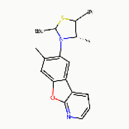 Cc1cc2oc3ncccc3c2cc1N1C(C(C)(C)C)SC(C(C)C)[C@@H]1C